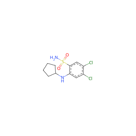 NS(=O)(=O)c1cc(Cl)c(Cl)cc1NC1CCCC1